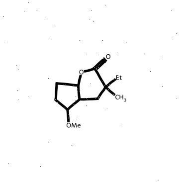 CCC1(C)CC2C(OC)CCC2OC1=O